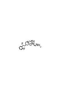 C=C(CN1CCC(CC(F)c2ccccc2F)CC1)C(=O)N/C=C\N